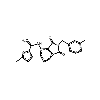 C=C(Nc1cccc2c1C(=O)N(Cc1cccc(I)c1)C2=O)c1ccc(Cl)s1